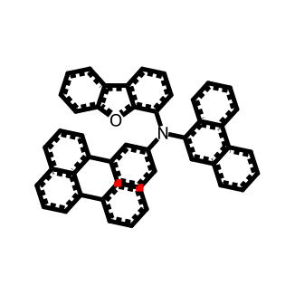 c1ccc(-c2cccc3cccc(-c4cccc(N(c5cc6ccccc6c6ccccc56)c5cccc6c5oc5ccccc56)c4)c23)cc1